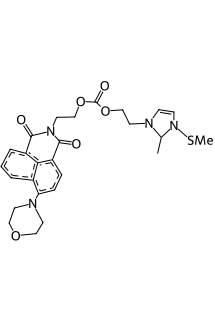 CSN1C=CN(CCOC(=O)OCCN2C(=O)c3cccc4c(N5CCOCC5)ccc(c34)C2=O)C1C